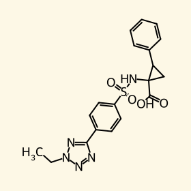 CCn1nnc(-c2ccc(S(=O)(=O)NC3(C(=O)O)CC3c3ccccc3)cc2)n1